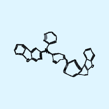 c1ccc(N(c2ccc(-c3ccc4ccc5oc6ccccc6c5c4c3)cc2)c2ccc3oc4ccccc4c3c2)cc1